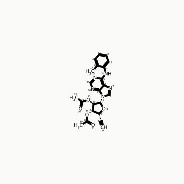 C#C[C@H]1O[C@@H](n2cnc3c(Nc4ccccc4C)ncnc32)[C@H](OC(C)=O)[C@H]1OC(C)=O